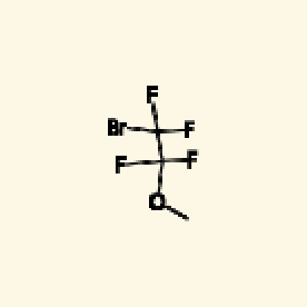 COC(F)(F)C(F)(F)Br